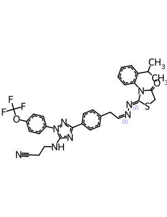 CC(C)c1ccccc1N1C(=O)CS/C1=N\N=C/Cc1ccc(-c2nc(NCCC#N)n(-c3ccc(OC(F)(F)F)cc3)n2)cc1